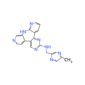 Cc1cnc(CNc2ncc3c(n2)-c2cccnc2Nc2cnccc2-3)cn1